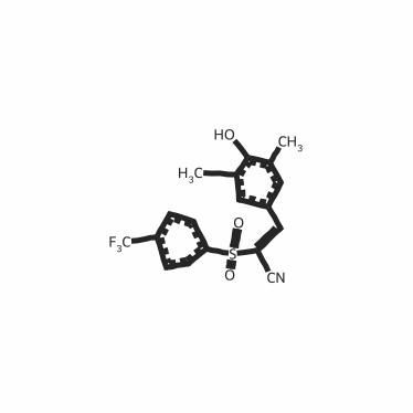 Cc1cc(C=C(C#N)S(=O)(=O)c2ccc(C(F)(F)F)cc2)cc(C)c1O